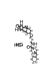 Cl.Cl.O=C(NCCCOc1ccc2nc3[nH]c(=O)[nH]c3cc2c1)N1CCN(CC2CCCCC2)CC1